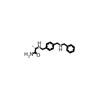 C[C@H](NCc1ccc(CNCc2ccccc2)cc1)C(N)=O